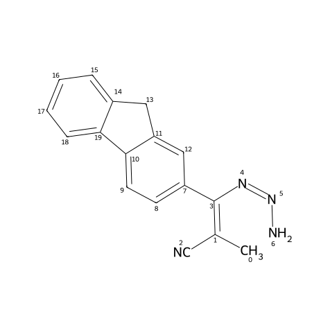 C/C(C#N)=C(\N=N/N)c1ccc2c(c1)Cc1ccccc1-2